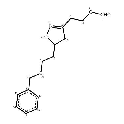 O=COCCC1=NOC(CCOCc2ccccc2)C1